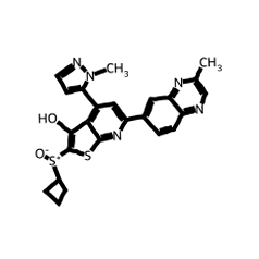 Cc1cnc2ccc(-c3cc(-c4ccnn4C)c4c(O)c([S+]([O-])C5CCC5)sc4n3)cc2n1